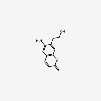 C=C1C=Cc2cc(N)c(CCO)cc2O1